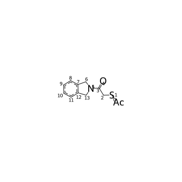 CC(=O)SCC(=O)N1Cc2ccccc2C1